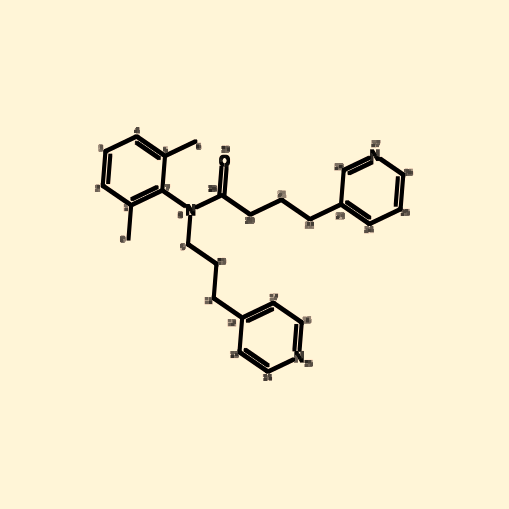 Cc1cccc(C)c1N(CCCc1ccncc1)C(=O)CCCc1cccnc1